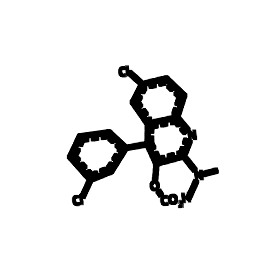 CN(C)c1nc2ccc(Cl)cc2c(-c2cccc(Cl)c2)c1OC(=O)O